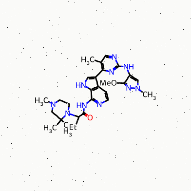 CCC(C(=O)Nc1nccc2c(-c3nc(Nc4cn(C)nc4OC)ncc3C)c[nH]c12)N1CCN(C)CC1(C)C